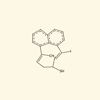 C/C1=C\CC(S)/C=C(\I)c2cccc3cccc1c23